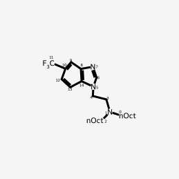 CCCCCCCCN(CCCCCCCC)CCn1cnc2cc(C(F)(F)F)ccc21